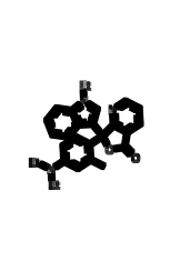 CCN(CC)c1ccc(C2(c3cn(CC)c4ccccc34)OC(=O)c3cccnc32)c(C)c1